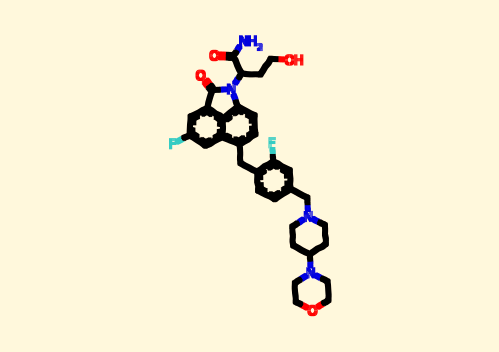 NC(=O)C(CCO)N1C(=O)c2cc(F)cc3c(Cc4ccc(CN5CCC(N6CCOCC6)CC5)cc4F)ccc1c23